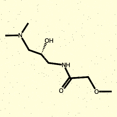 COCC(=O)NC[C@@H](O)CN(C)C